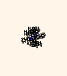 Cc1cc(-c2ccccc2)ccc1N1c2cc3c(cc2B2c4ccc(-c5ccccc5)cc4N(c4cccc5c4-c4ccccc4C5(C)C)c4cc(C(C)(C)C)cc1c42)C(C)(C)CC3(C)C